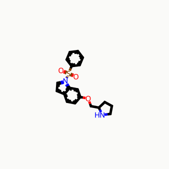 O=S(=O)(c1ccccc1)n1ccc2ccc(OCC3CCCN3)cc21